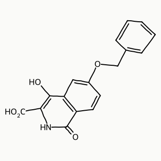 O=C(O)c1[nH]c(=O)c2ccc(OCc3ccccc3)cc2c1O